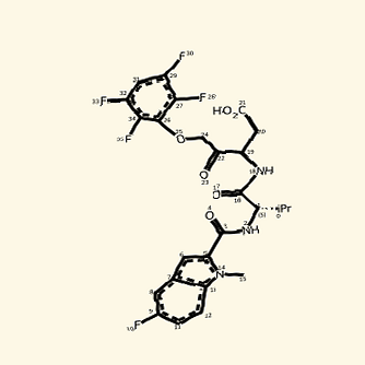 CC(C)[C@H](NC(=O)c1cc2cc(F)ccc2n1C)C(=O)NC(CC(=O)O)C(=O)COc1c(F)c(F)cc(F)c1F